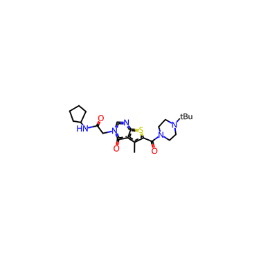 Cc1c(C(=O)N2CCN(C(C)(C)C)CC2)sc2ncn(CC(=O)NC3CCCC3)c(=O)c12